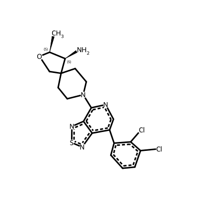 C[C@@H]1OCC2(CCN(c3ncc(-c4cccc(Cl)c4Cl)c4nsnc34)CC2)[C@@H]1N